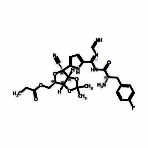 CCC(=O)OC[C@H]1O[C@@](C#N)(c2ccc(/C(=N\C=N)NC(=O)[C@@H](N)Cc3ccc(F)cc3)[nH]2)[C@@H]2OC(C)(C)O[C@@H]21